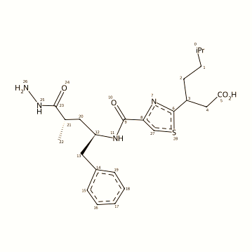 CC(C)CCC(CC(=O)O)c1nc(C(=O)N[C@@H](Cc2ccccc2)C[C@H](C)C(=O)NN)cs1